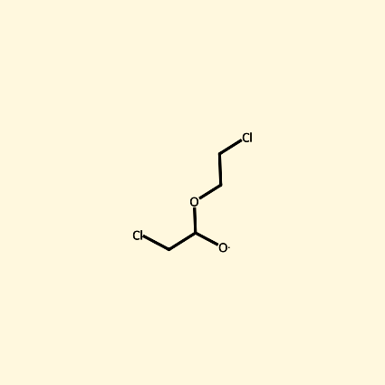 [O]C(CCl)OCCCl